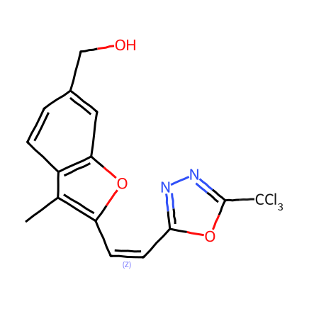 Cc1c(/C=C\c2nnc(C(Cl)(Cl)Cl)o2)oc2cc(CO)ccc12